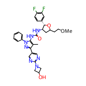 COCCC1C[C@@H](NC(=O)Nc2c(C)c(-c3cnc(N4CC(O)C4)nc3)nn2-c2ccccc2)[C@H](c2ccc(F)c(F)c2)O1